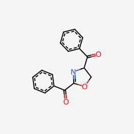 O=C(C1=NC(C(=O)c2ccccc2)CO1)c1ccccc1